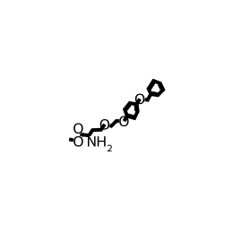 COC(=O)C(N)CCOCCOc1ccc(OCc2ccccc2)cc1